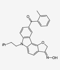 Cc1ccccc1C(=O)c1ccc2c(c1)c1c3c(ccc1n2CCC(C)C)/C(=N/O)CO3